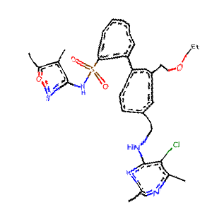 CCOCc1cc(CNc2nc(C)nc(C)c2Cl)ccc1-c1ccccc1S(=O)(=O)Nc1noc(C)c1C